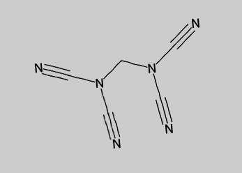 N#CN(C#N)CN(C#N)C#N